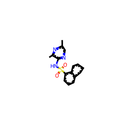 Cc1cnc(NS(=O)(=O)c2cccc3ccccc23)c(C)n1